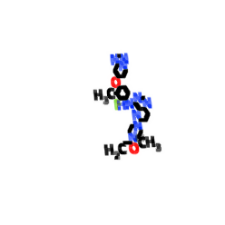 C=CC(=O)N1CCN(c2ccc3ncnc(Nc4ccc(Oc5ccn6ncnc6c5)c(C)c4F)c3n2)C[C@@H]1C